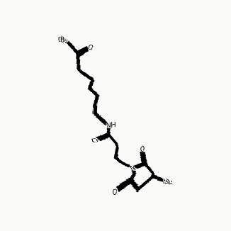 CC(C)(C)C(=O)CCCCCNC(=O)CCN1C(=O)CC(C(C)(C)C)C1=O